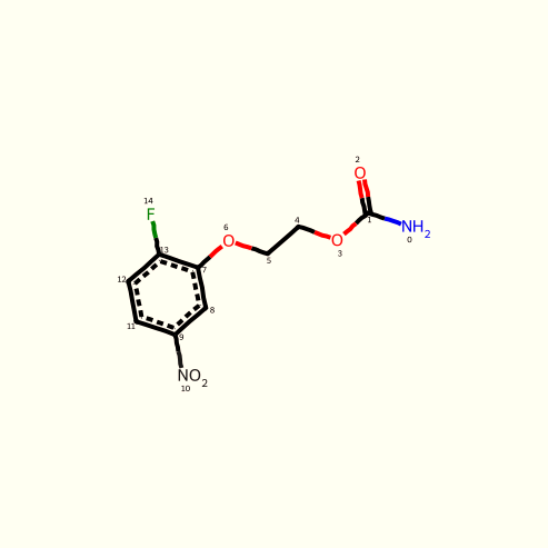 NC(=O)OCCOc1cc([N+](=O)[O-])ccc1F